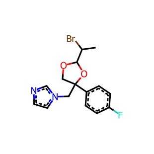 CC(Br)C1OCC(Cn2ccnc2)(c2ccc(F)cc2)O1